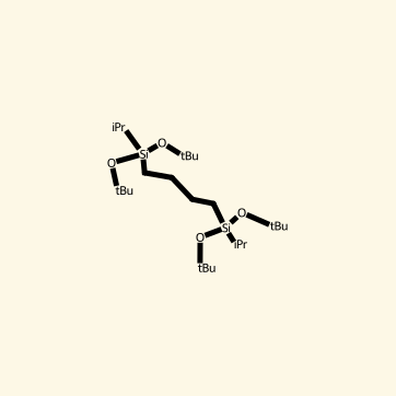 CC(C)[Si](CCCC[Si](OC(C)(C)C)(OC(C)(C)C)C(C)C)(OC(C)(C)C)OC(C)(C)C